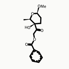 CO[C@H]1CC[C@](O)(C(=O)COC(=O)c2ccccc2)[C@@H](C)O1